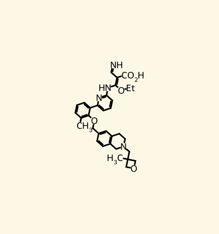 CCO/C(Nc1cccc(-c2cccc(C)c2OCc2ccc3c(c2)CCN(CC2(C)COC2)C3)n1)=C(/C=N)C(=O)O